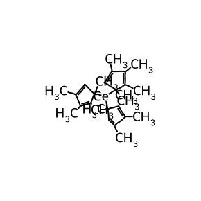 CC1=C[C](C)([Ce]([C]2(C)C=C(C)C(C)=C2C)[C]2(C)C=C(C)C(C)=C2C)C(C)=C1C